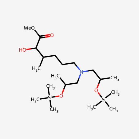 COC(=O)C(O)C(C)CCCN(CC(C)O[Si](C)(C)C)CC(C)O[Si](C)(C)C